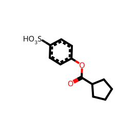 O=C(Oc1ccc(S(=O)(=O)O)cc1)C1CCCC1